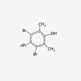 CCCc1c(Br)c(C)c(O)c(C)c1Br